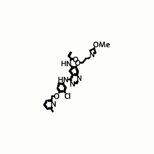 C=CC(=O)Nc1cc2c(Nc3ccc(OCc4cccc(C)n4)c(Cl)c3)ncnc2cc1OCCCN1CC(OC)C1